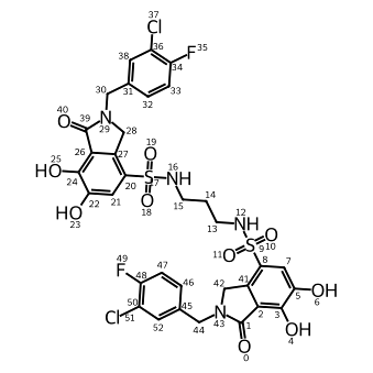 O=C1c2c(O)c(O)cc(S(=O)(=O)NCCCNS(=O)(=O)c3cc(O)c(O)c4c3CN(Cc3ccc(F)c(Cl)c3)C4=O)c2CN1Cc1ccc(F)c(Cl)c1